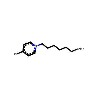 CCCCCCCCCCCCCCC[n+]1ccc(C(C)C)cc1